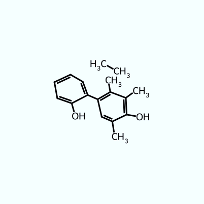 CC.Cc1cc(-c2ccccc2O)c(C)c(C)c1O